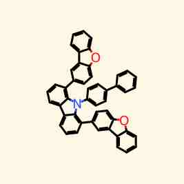 c1ccc(-c2ccc(-n3c4c(-c5ccc6oc7ccccc7c6c5)cccc4c4cccc(-c5ccc6oc7ccccc7c6c5)c43)cc2)cc1